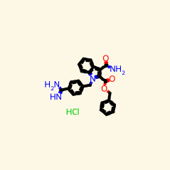 Cl.N=C(N)c1ccc(Cn2c(C(=O)OCc3ccccc3)c(C(N)=O)c3ccccc32)cc1